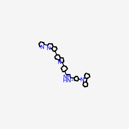 N=C(/C=C(\N)c1ccc(-c2ccc3cc(-c4ccc5ccc(-c6ccccn6)nc5c4)ccc3n2)cc1)c1ccc(-n2c3ccccc3c3ccccc32)cc1